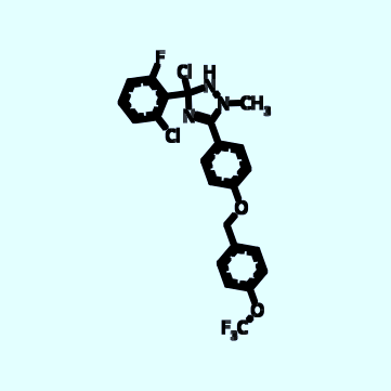 CN1NC(Cl)(c2c(F)cccc2Cl)N=C1c1ccc(OCc2ccc(OC(F)(F)F)cc2)cc1